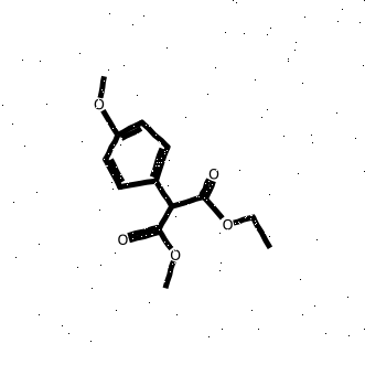 CCOC(=O)C(C(=O)OC)c1ccc(OC)cc1